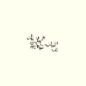 CC[C@H]1COCCN1C(=O)/C=C/c1cnn2c(O)c(C(=O)NC3CC3)c(=O)n(CC(C)C)c12